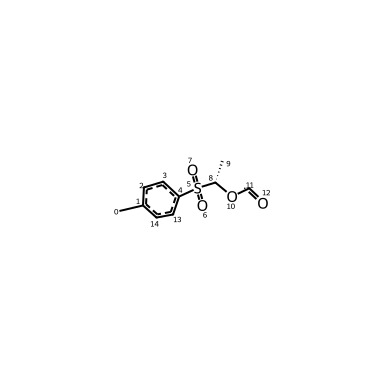 Cc1ccc(S(=O)(=O)[C@H](C)O[C]=O)cc1